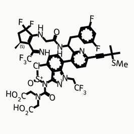 CSC(C)(C)C#Cc1ccc(-c2ccc(Cl)c3c(N(C(=O)N(CC(=O)O)CC(=O)O)[S+](C)[O-])nn(CC(F)(F)F)c23)c(C(Cc2cc(F)cc(F)c2)NC(=O)CNC2=C(C(=N)C(F)(F)F)[C@@H](C)CC2(F)F)n1